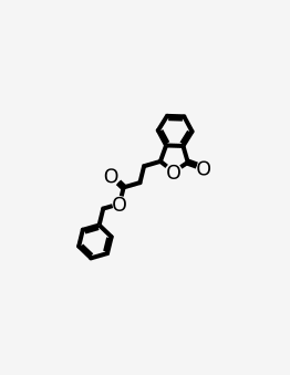 O=C(CCC1OC(=O)c2ccccc21)OCc1ccccc1